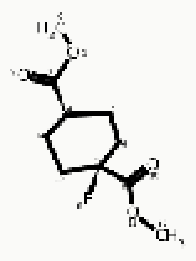 COC(=O)[C@H]1CC[C@](F)(C(=O)OC)CC1